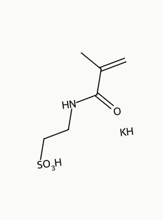 C=C(C)C(=O)NCCS(=O)(=O)O.[KH]